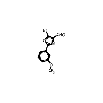 CCc1oc(-c2cccc(OC(F)(F)F)c2)nc1C=O